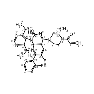 C=CC(=O)N1CCN(c2nc(=O)n(-c3c(C(C)C)ncnc3C(C)C)c3nc(-c4ccccc4F)c(F)cc23)C[C@@H]1C